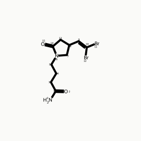 NC(=O)CCCN1CC(C=C(Br)Br)CC1=O